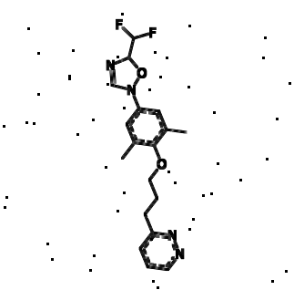 Cc1cc(N2C=NC(C(F)F)O2)cc(C)c1OCCCc1cccnn1